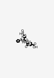 O=CNc1nc(C(=NOC2C=CCC2)C(=O)NC2C(=O)N3C=C(C(=O)O)CS[C@H]23)cs1